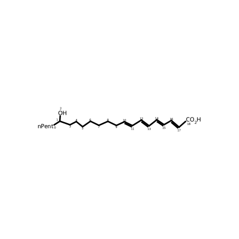 CCCCCC(O)CCCCCCCC=CC=CC=CC=CC(=O)O